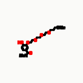 CNC(=O)c1ccc(O)c(OCCOCCOCCOCCCOC)c1